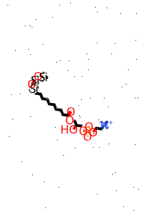 C[N+](C)(C)CCOP(=O)([O-])OCC(O)COC(=O)CCCCCCCCC[Si](C)(C)O[Si](C)(C)O[Si](C)(C)C